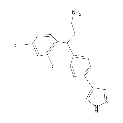 NCCC(c1ccc(-c2cn[nH]c2)cc1)c1ccc(Cl)cc1Cl